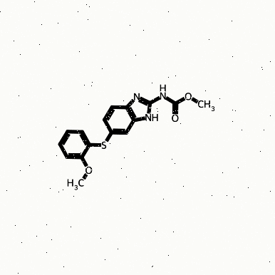 COC(=O)Nc1nc2ccc(Sc3ccccc3OC)cc2[nH]1